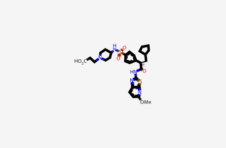 COc1ccc2nc(NC(=O)[C@H](CC3CCCC3)c3ccc(S(=O)(=O)NC4CCN(CCC(=O)O)CC4)cc3)sc2n1